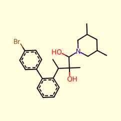 CC1CC(C)CN(C(O)C(C)(O)C(C)c2ccccc2-c2ccc(Br)cc2)C1